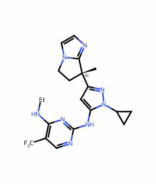 CCNc1nc(Nc2cc([C@]3(C)CCn4ccnc43)nn2C2CC2)ncc1C(F)(F)F